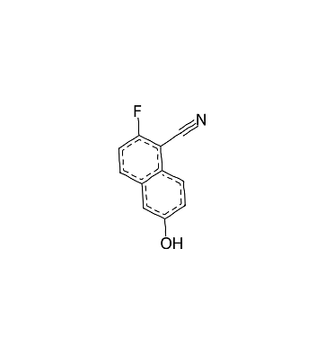 N#Cc1c(F)ccc2cc(O)ccc12